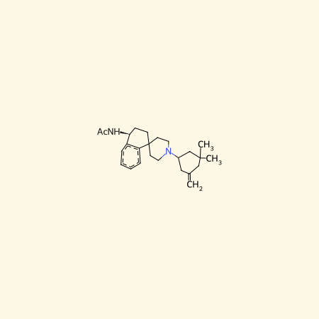 C=C1CC(N2CCC3(CC[C@H](NC(C)=O)c4ccccc43)CC2)CC(C)(C)C1